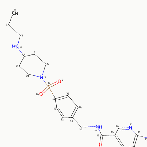 N#CCCNC1CCN(S(=O)(=O)c2ccc(CNC(=O)c3cnc4[nH]ncc4c3)cc2)CC1